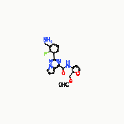 NCc1cccc(-c2nc(C(=O)Nc3ccoc3COC=O)c3cccn3n2)c1F